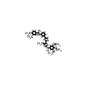 COc1cc(Nc2nc(N)c(-c3nc(-c4cccc(NC(=O)c5ccc(C)c(C)c5)c4)cs3)s2)cc(OC)c1OC